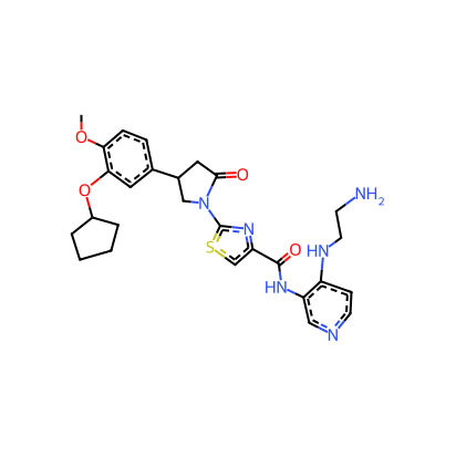 COc1ccc(C2CC(=O)N(c3nc(C(=O)Nc4cnccc4NCCN)cs3)C2)cc1OC1CCCC1